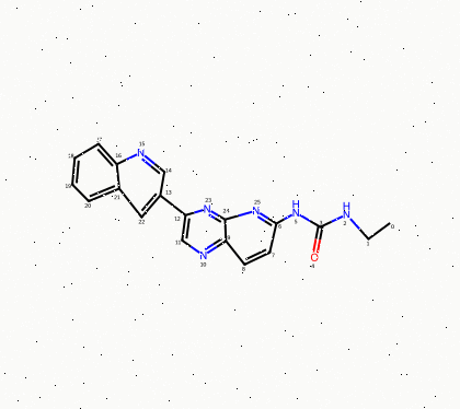 CCNC(=O)Nc1ccc2ncc(-c3cnc4ccccc4c3)nc2n1